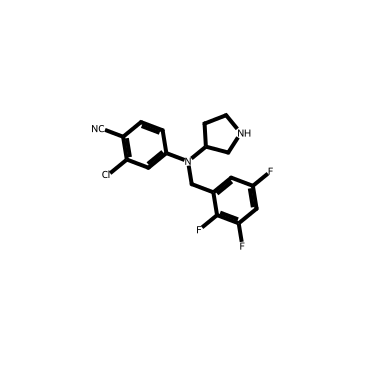 N#Cc1ccc(N(Cc2cc(F)cc(F)c2F)C2CCNC2)cc1Cl